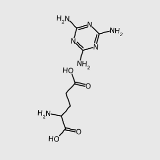 NC(CCC(=O)O)C(=O)O.Nc1nc(N)nc(N)n1